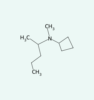 CCCC(C)N(C)C1CCC1